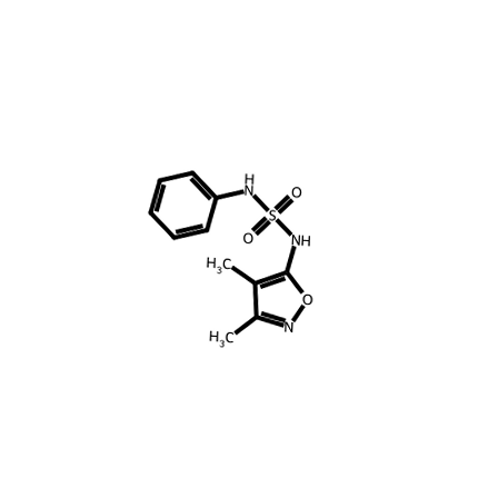 Cc1noc(NS(=O)(=O)Nc2ccccc2)c1C